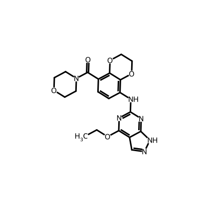 CCOc1nc(Nc2ccc(C(=O)N3CCOCC3)c3c2OCCO3)nc2[nH]ncc12